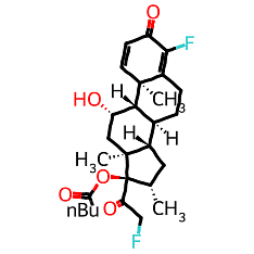 CCCCC(=O)O[C@]1(C(=O)CF)[C@@H](C)C[C@H]2[C@@H]3CCC4=C(F)C(=O)C=C[C@]4(C)[C@H]3[C@@H](O)C[C@@]21C